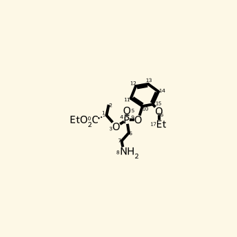 CCOC(=O)[C@H](C)OP(=O)(CCN)Oc1ccccc1OCC